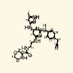 Cc1cc(Nc2cc(NCCNC(=O)[C@@H]3COCCN3)nc(Nc3ccc(CC#N)cc3)n2)n[nH]1